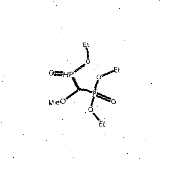 CCO[PH](=O)C(OC)P(=O)(OCC)OCC